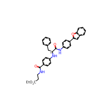 CCOC(=O)CCNC(=O)c1ccc(N[C@@H](Cc2ccccc2)C(=O)Nc2ccc(-c3cc4ccccc4o3)cc2)cc1